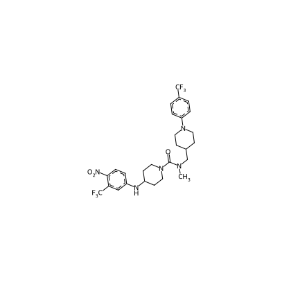 CN(CC1CCN(c2ccc(C(F)(F)F)cc2)CC1)C(=O)N1CCC(Nc2ccc([N+](=O)[O-])c(C(F)(F)F)c2)CC1